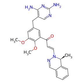 COc1cc(Cc2cnc(N)nc2N)cc(C(=O)/C=C/N2N=Cc3ccccc3[C@@H]2C)c1OC